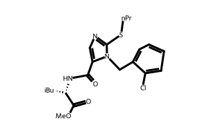 CCCSc1ncc(C(=O)N[C@H](C(=O)OC)[C@@H](C)CC)n1Cc1ccccc1Cl